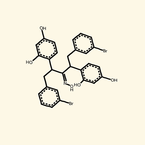 ON=C(C(Cc1cccc(Br)c1)c1ccc(O)cc1O)C(Cc1cccc(Br)c1)c1ccc(O)cc1O